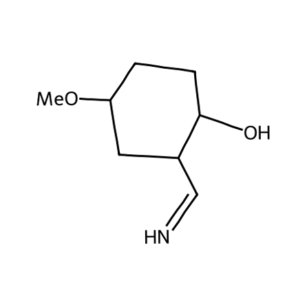 COC1CCC(O)C(C=N)C1